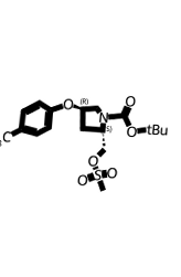 CC(C)(C)OC(=O)N1C[C@H](Oc2ccc(C(F)(F)F)cc2)C[C@H]1COS(C)(=O)=O